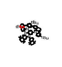 CC(C)(C)c1ccc(N2c3cc(C(C)(C)C)ccc3B3c4cc5c(cc4N(c4ccc6c(c4)C(C)(C)CCC6(C)C)c4cc(N6c7ccc(C(C)(C)C)cc7C7(C)CCc8ccccc8C67C)cc2c43)C(C)(C)CCC5(C)C)c(-c2ccccc2)c1